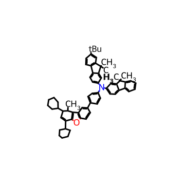 CC1c2c(oc3ccc(-c4ccc(N(c5ccc6c(c5)C(C)(C)c5ccccc5-6)c5ccc6c(c5)C(C)(C)c5cc(C(C)(C)C)ccc5-6)cc4)cc23)C(C2CCCCC2)=CC1C1CCCCC1